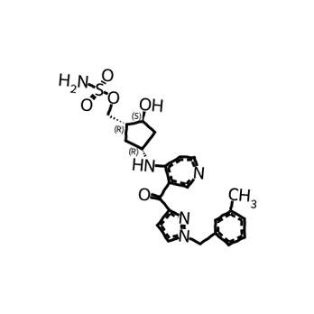 Cc1cccc(Cn2ccc(C(=O)c3cnccc3N[C@@H]3C[C@H](COS(N)(=O)=O)[C@@H](O)C3)n2)c1